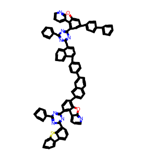 c1ccc(-c2ccc(-c3cc(-c4nc(-c5ccccc5)nc(-c5ccc(-c6ccc(-c7ccc8ccc(-c9ccc(-c%10nc(-c%11ccccc%11)nc(-c%11cccc%12c%11sc%11ccccc%11%12)n%10)c%10c9oc9ncccc9%10)cc8c7)cc6)c6ccccc56)n4)c4c(c3)oc3ncccc34)cc2)cc1